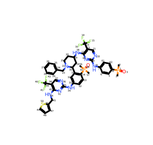 CP(C)(=O)c1ccc(Nc2ncc(C(F)(F)F)c(NC3CCN(Cc4ccccc4)C(c4cc(Nc5ncc(C(F)(F)F)c(NCc6cccs6)n5)ccc4P(C)(C)=O)C3)n2)cc1